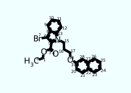 CCOC(=O)c1c(Br)c2ccccc2n1CCCOc1ccc2ccccc2c1